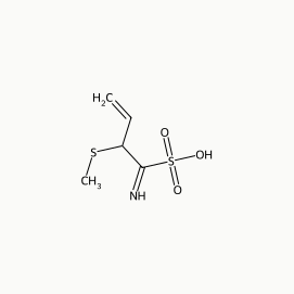 C=CC(SC)C(=N)S(=O)(=O)O